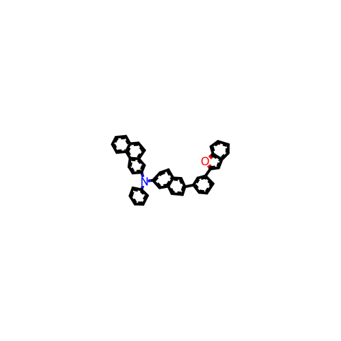 c1ccc(N(c2ccc3cc(-c4cccc(-c5cc6ccccc6o5)c4)ccc3c2)c2ccc3c(ccc4ccccc43)c2)cc1